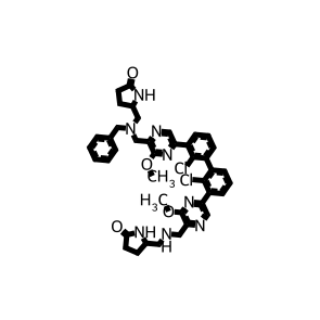 COc1nc(-c2cccc(-c3cccc(-c4cnc(CN(Cc5ccccc5)CC5CCC(=O)N5)c(OC)n4)c3Cl)c2Cl)cnc1CNCC1CCC(=O)N1